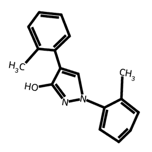 Cc1ccccc1-c1cn(-c2ccccc2C)nc1O